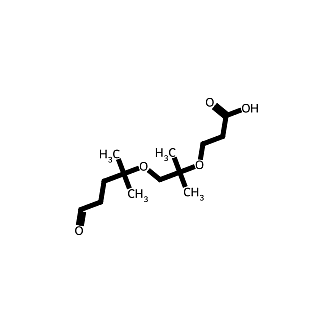 CC(C)(CCC=O)OCC(C)(C)OCCC(=O)O